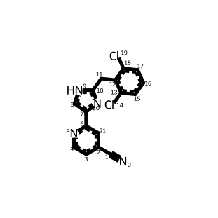 N#Cc1ccnc(-c2c[nH]c(Cc3c(Cl)cccc3Cl)n2)c1